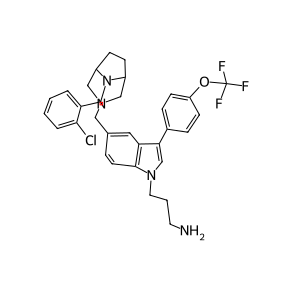 NCCCn1cc(-c2ccc(OC(F)(F)F)cc2)c2cc(CN3CC4CCC(C3)N4Cc3ccccc3Cl)ccc21